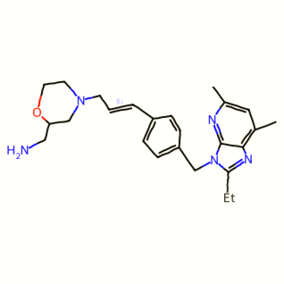 CCc1nc2c(C)cc(C)nc2n1Cc1ccc(/C=C/CN2CCOC(CN)C2)cc1